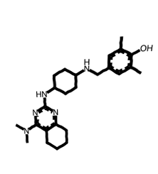 Cc1cc(CNC2CCC(Nc3nc4c(c(N(C)C)n3)CCCC4)CC2)cc(C)c1O